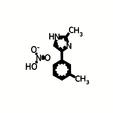 Cc1cccc(-c2c[nH]c(C)n2)c1.O=[N+]([O-])O